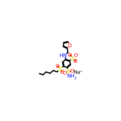 CCCCCCS(=O)(=O)c1cc(NCc2ccco2)c(S(=O)(=O)[O-])cc1S(N)(=O)=O.[Na+]